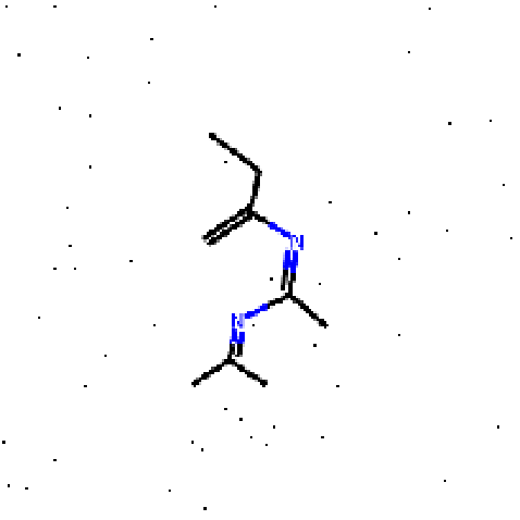 C=C(CC)/N=C(/C)N=C(C)C